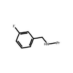 CC(C)NCc1cccc(F)c1